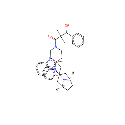 Cc1nc2ccccc2n1[C@H]1C[C@H]2CC[C@@H](C1)N2CCC1(c2ccccc2)CCN(C(=O)C(C)(C)C(O)c2ccccc2)CC1